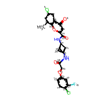 Cc1cc(Cl)cc2c(=O)cc(C(=O)NC34CC(NC(=O)COc5ccc(Cl)c(F)c5)(C3)C4)oc12